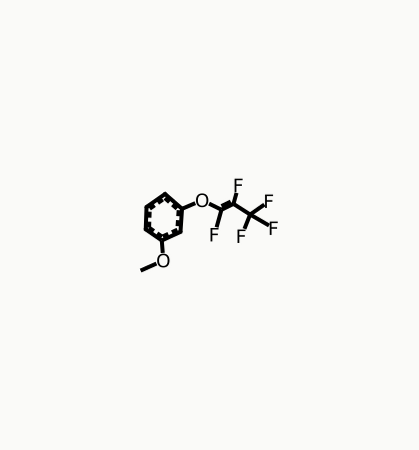 COc1cccc(OC(F)=C(F)C(F)(F)F)c1